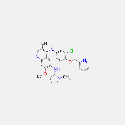 CCOc1cc2ncc(C#N)c(Nc3ccc(OCc4ccccn4)c(Cl)c3)c2cc1N[C@@H]1CCCN1C